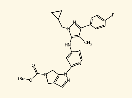 Cc1c(-c2ccc(F)cc2)nn(CC2CC2)c1Nc1cc(-n2ncc3c2CN(C(=O)OC(C)(C)C)C3)ncn1